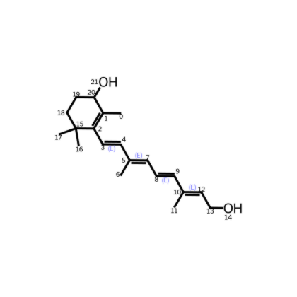 CC1=C(/C=C/C(C)=C/C=C/C(C)=C/CO)C(C)(C)CCC1O